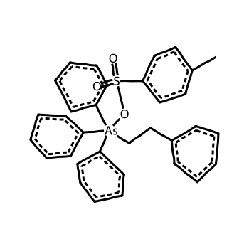 Cc1ccc(S(=O)(=O)O[As](CCc2ccccc2)(c2ccccc2)(c2ccccc2)c2ccccc2)cc1